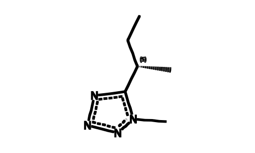 CC[C@H](C)c1nnnn1C